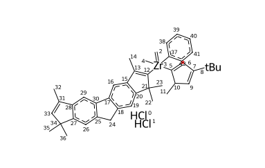 Cl.Cl.[CH2]=[Zr]([CH3])([C]1=CC(C(C)(C)C)=CC1C)([C]1=C(C)c2cc3c(cc2C1(C)C)Cc1cc2c(cc1-3)C(C)=CC2(C)C)[c]1ccccc1